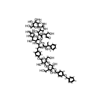 CC(c1ccccc1)C(N)C(=O)NC(Cc1ccc(OC2OC(CO)C(OC3OC(CO)C(O)C(OCc4ccc(OCc5ccccc5)cc4)C3O)C(O)C2O)cc1)C(=O)NC(C(=O)NC(C(=O)NC([C]=O)CO)C(O)C1CNC(=N)N1C1OC(CO)C(O)C(O)C1O)C(O)C1CNC(=N)N1